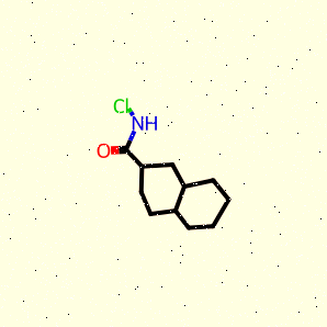 O=C(NCl)C1CCC2CCCCC2C1